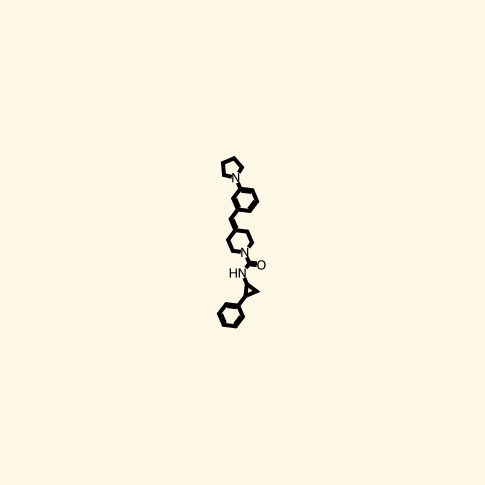 O=C(NC1CC1c1ccccc1)N1CCC(=Cc2cccc(N3CCCC3)c2)CC1